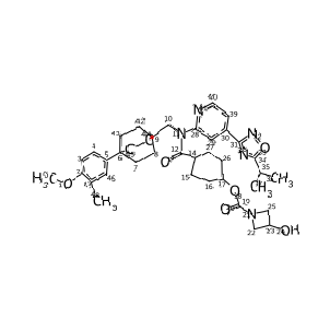 COc1ccc(C23CCC(CN(C(=O)C4CCC(OC(=O)N5CC(O)C5)CC4)c4cc(-c5noc(C(C)C)n5)ccn4)(CC2)CC3)cc1C